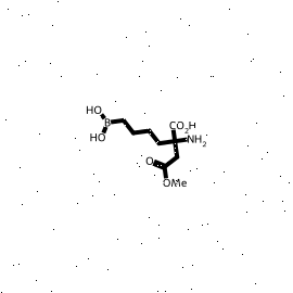 COC(=O)CC(N)(CCCCB(O)O)C(=O)O